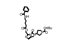 CC(C)(C)OC(=O)N1CCC(N2Cc3cnc(COC(=O)CCCCNC(=O)c4ccccc4)n3C2=O)CC1